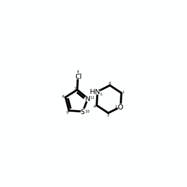 C1COCCN1.Clc1ccsn1